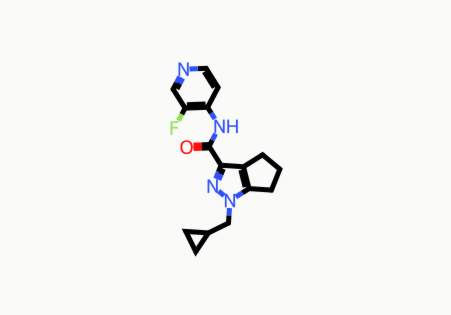 O=C(Nc1ccncc1F)c1nn(CC2CC2)c2c1CCC2